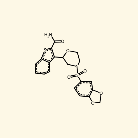 NC(=O)c1sc2ccccc2c1C1CN(S(=O)(=O)c2ccc3c(c2)OCO3)CCO1